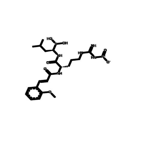 COc1ccccc1/C=C/C(=O)N[C@@H](CCCNC(=N)N[N+](=O)[O-])C(=O)N[C@@H](CC(C)C)B(O)O